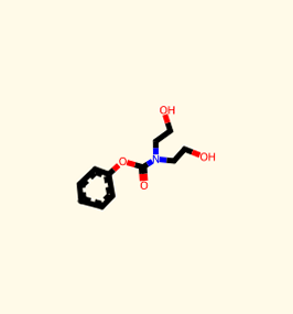 O=C(Oc1cc[c]cc1)N(CCO)CCO